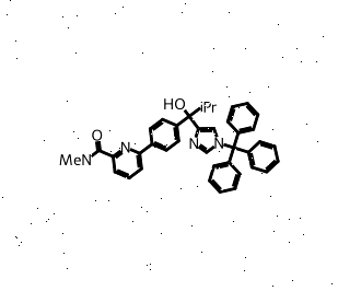 CNC(=O)c1cccc(-c2ccc(C(O)(c3cn(C(c4ccccc4)(c4ccccc4)c4ccccc4)cn3)C(C)C)cc2)n1